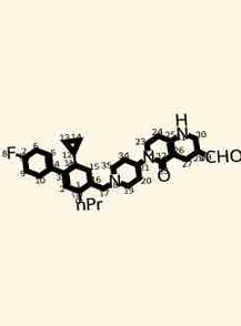 CCC[C@H]1C=C(C2=CC[C@H](F)CC2)[C@@H](C2CC2)CC1CN1CCC(N2CCC3=C(CC(C=O)CN3)C2=O)CC1